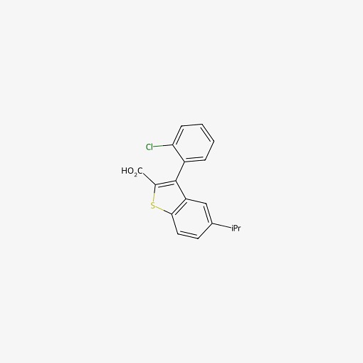 CC(C)c1ccc2sc(C(=O)O)c(-c3ccccc3Cl)c2c1